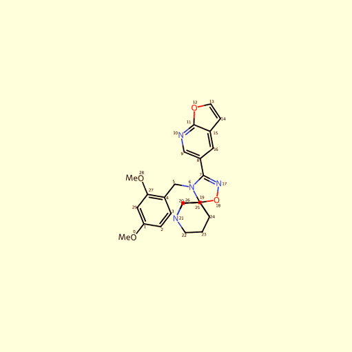 COc1ccc(CN2C(c3cnc4occc4c3)=NOC23CN2CCC3CC2)c(OC)c1